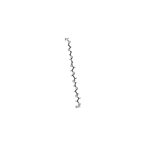 CCOCCOCCOCCOCCOCCOCCOCCOCCOCC